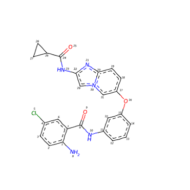 Nc1ccc(Cl)cc1C(=O)Nc1cccc(Oc2ccc3nc(NC(=O)C4CC4)cn3c2)c1